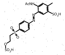 CC(=O)Nc1cc(C)c(S(=O)(=O)O)cc1/N=N/c1ccc(S(=O)(=O)CCOS(=O)(=O)O)cc1